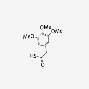 COc1cc(CC(=O)S)cc(OC)c1OC